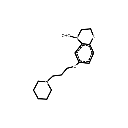 O=CN1CCSc2ccc(OCCCN3CCCCC3)cc21